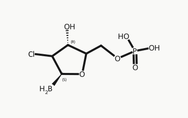 B[C@@H]1OC(COP(=O)(O)O)[C@@H](O)C1Cl